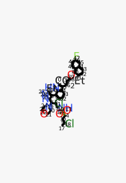 CCOC(=O)c1[nH]c2c(-c3c(C(CCNS(=O)(=O)CCC(C)Cl)N4CCOCC4)nn(C)c3CC)c(Cl)ccc2c1CCCOc1cccc2cc(F)ccc12